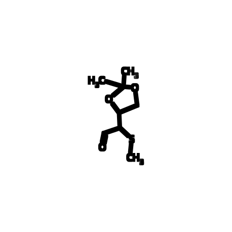 CSC(C=O)C1COC(C)(C)O1